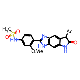 COc1cc(NS(C)(=O)=O)ccc1-c1nc2cc3c(cc2[nH]1)NC(=O)C3C(C)=O